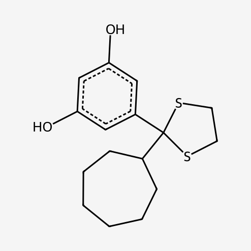 Oc1cc(O)cc(C2(C3CCCCCC3)SCCS2)c1